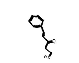 CC(=O)CCC(=O)C=Cc1ccccc1